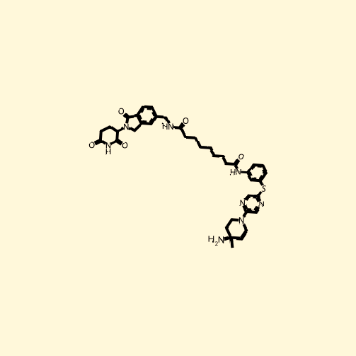 CC1(N)CCN(c2cnc(Sc3cccc(NC(=O)CCCCCCCC(=O)NCc4ccc5c(c4)CN(C4CCC(=O)NC4=O)C5=O)c3)cn2)CC1